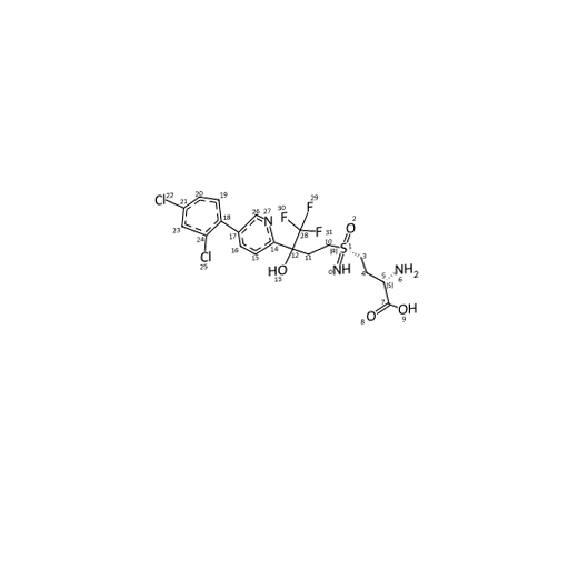 N=[S@@](=O)(CC[C@H](N)C(=O)O)CCC(O)(c1ccc(-c2ccc(Cl)cc2Cl)cn1)C(F)(F)F